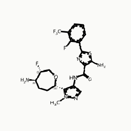 Cn1ncc(NC(=O)c2nc(-c3cccc(C(F)(F)F)c3F)sc2N)c1[C@@H]1CC[C@@H](N)[C@H](F)CO1